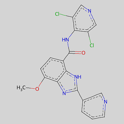 COc1ccc(C(=O)Nc2c(Cl)cncc2Cl)c2[nH]c(-c3cccnc3)nc12